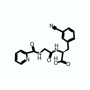 N#Cc1cccc(C[C@H](NC(=O)CNC(=O)c2ccccn2)C(=O)O)c1